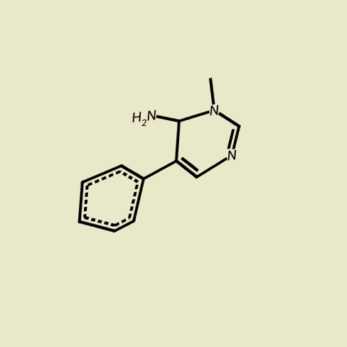 CN1C=NC=C(c2ccccc2)C1N